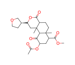 COC(=O)C1CC(OC(C)=O)C(=O)C2C1(C)CCC1C(=O)OC([C@H]3CCOC3)CC12C